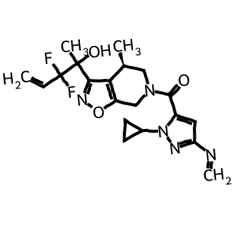 C=CC(F)(F)C(C)(O)c1noc2c1[C@@H](C)CN(C(=O)c1cc(N=C)nn1C1CC1)C2